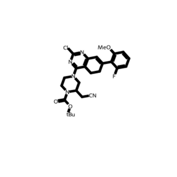 COc1cccc(F)c1C1=Cc2nc(Cl)nc(N3CCN(C(=O)OC(C)(C)C)C(CC#N)C3)c2CC1